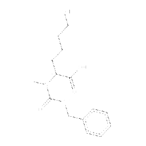 CN(C(=O)OCc1ccccc1)C(CCCCO)C(=O)O